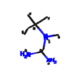 CN(C(N)N)C(C)(C)C